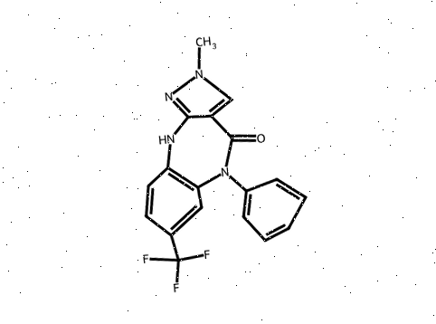 Cn1cc2c(n1)Nc1ccc(C(F)(F)F)cc1N(c1ccccc1)C2=O